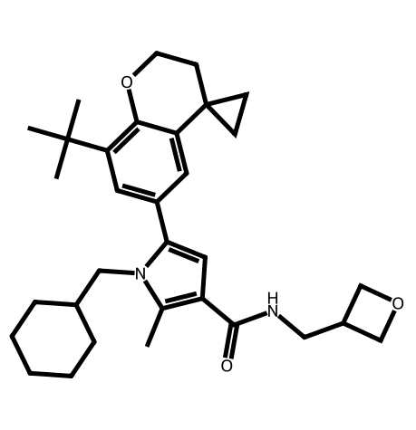 Cc1c(C(=O)NCC2COC2)cc(-c2cc(C(C)(C)C)c3c(c2)C2(CCO3)CC2)n1CC1CCCCC1